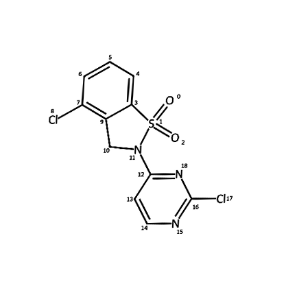 O=S1(=O)c2cccc(Cl)c2CN1c1ccnc(Cl)n1